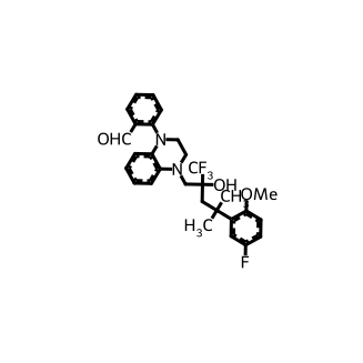 COc1ccc(F)cc1C(C)(C)CC(O)(CN1CCN(c2ccccc2C=O)c2ccccc21)C(F)(F)F